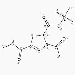 COC(=O)C1=CN(C(C)=O)C(C(=O)OC(C)(C)C)C1